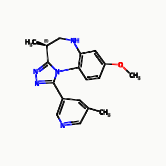 COc1ccc2c(c1)NC[C@H](C)c1nnc(-c3cncc(C)c3)n1-2